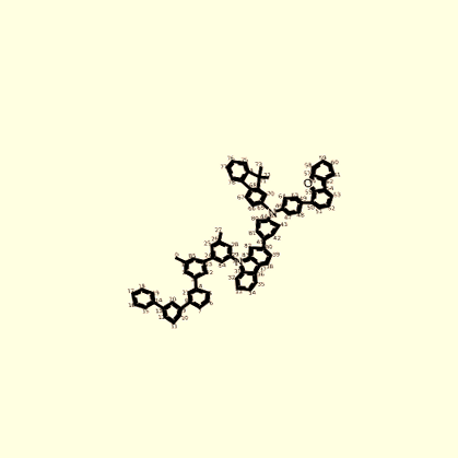 Cc1cc(-c2cccc(-c3cccc(-c4ccccc4)c3)c2)cc(-c2cc(C)cc(-n3c4ccccc4c4ccc(-c5ccc(N(c6ccc(-c7cccc8c7oc7ccccc78)cc6)c6ccc7c(c6)C(C)(C)c6ccccc6-7)cc5)cc43)c2)c1